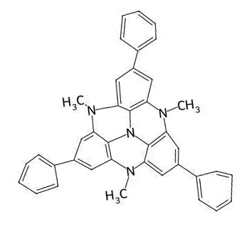 CN1c2cc(-c3ccccc3)cc3c2N2c4c1cc(-c1ccccc1)cc4N(C)c1cc(-c4ccccc4)cc(c12)N3C